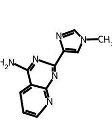 Cn1cnc(-c2nc(N)c3cccnc3n2)c1